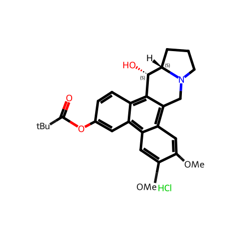 COc1cc2c3c(c4ccc(OC(=O)C(C)(C)C)cc4c2cc1OC)[C@H](O)[C@@H]1CCCN1C3.Cl